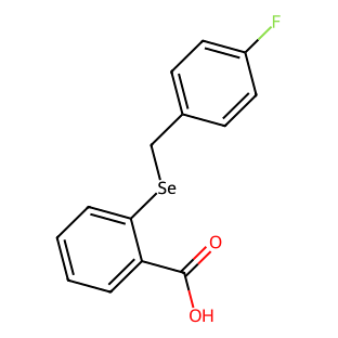 O=C(O)c1ccccc1[Se]Cc1ccc(F)cc1